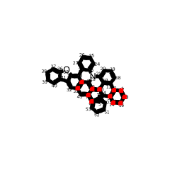 c1ccc(-c2ccccc2-c2c(-c3ccccc3)cccc2N(c2ccccc2-c2cccc3c2oc2ccccc23)c2cccc3c2sc2ccccc23)cc1